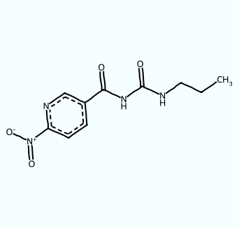 CCCNC(=O)NC(=O)c1ccc([N+](=O)[O-])nc1